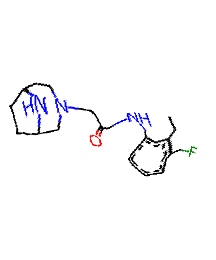 Cc1c(F)cccc1NC(=O)CN1CC2CCC(C1)N2